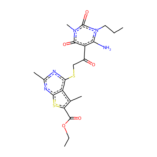 CCCn1c(N)c(C(=O)CSc2nc(C)nc3sc(C(=O)OCC)c(C)c23)c(=O)n(C)c1=O